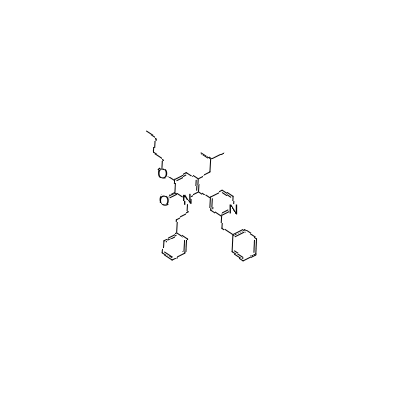 CCCCOc1cc(CC(C)C)c(-c2ccnc(Cc3ccccc3)c2)n(CCc2ccccc2)c1=O